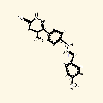 CC1CC(=O)NN=C1c1ccc(N/N=C/c2ccc([N+](=O)[O-])cc2)cc1